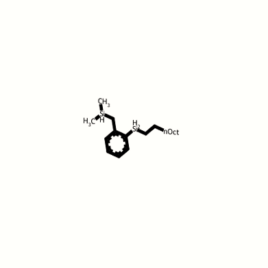 CCCCCCCCCC[SiH2]c1ccccc1C[SiH](C)C